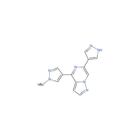 CCCCn1cc(-c2nc(-c3cn[nH]c3)cn3nccc23)cn1